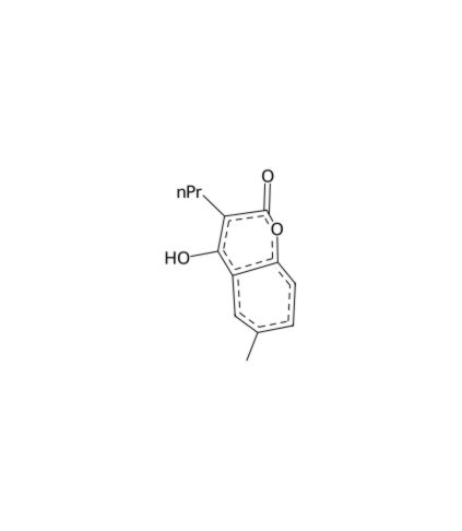 CCCc1c(O)c2cc(C)ccc2oc1=O